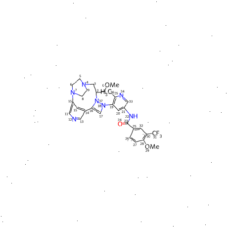 COCC1CN2CCN(CC2)c2cncc(c2)-c2cn(-c3cc(NC(=O)c4ccc(OC)c(C(F)(F)F)c4)cnc3C)n21